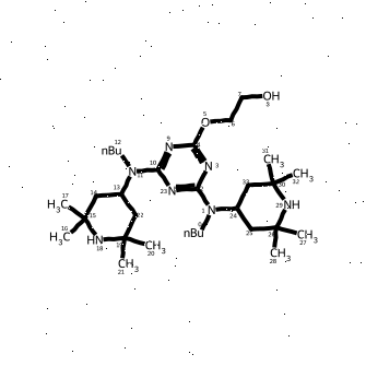 CCCCN(c1nc(OCCO)nc(N(CCCC)C2CC(C)(C)NC(C)(C)C2)n1)C1CC(C)(C)NC(C)(C)C1